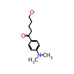 CN(C)c1ccc(C(=O)CCCC[O])cc1